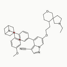 CCN1CCC2(COCCC2CCOc2cc(-c3ccc(N4CC5CC(C4)N5Cc4ccc(OC)cc4)nc3)c3c(C#N)cnn3c2)C1